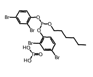 CCCCCCOP(Oc1ccc(Br)cc1Br)Oc1ccc(Br)cc1Br.[O]=[Ti]([OH])[OH]